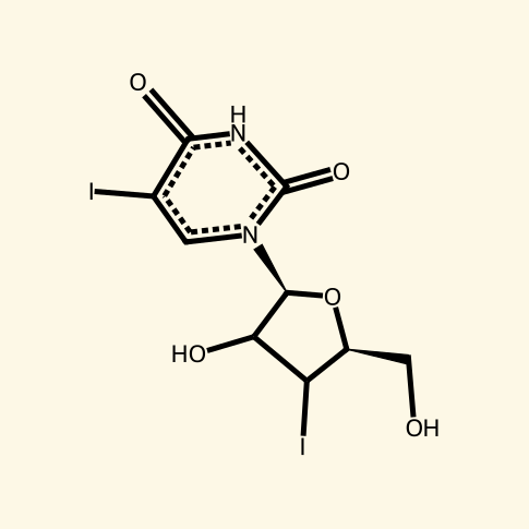 O=c1[nH]c(=O)n([C@H]2O[C@@H](CO)C(I)C2O)cc1I